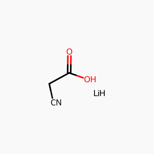 N#CCC(=O)O.[LiH]